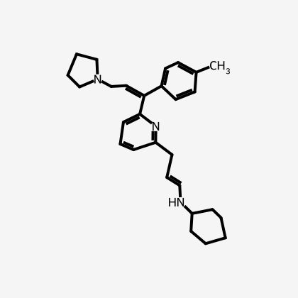 Cc1ccc(C(=CCN2CCCC2)c2cccc(CC=CNC3CCCCC3)n2)cc1